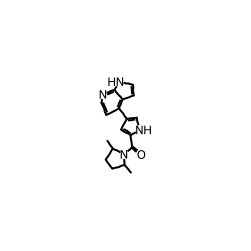 CC1CCC(C)N1C(=O)c1cc(-c2ccnc3[nH]ccc23)c[nH]1